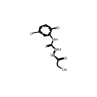 N#CCC(=O)NNC(=S)Nc1cc(Cl)ccc1Cl